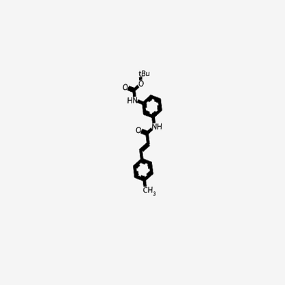 Cc1ccc(C=CC(=O)Nc2cccc(NC(=O)OC(C)(C)C)c2)cc1